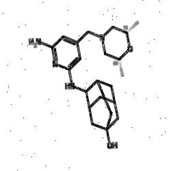 C[C@@H]1CN(Cc2cc(N)nc(NC3C4CC5CC3CC(O)(C5)C4)c2)C[C@H](C)O1